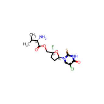 CC(C)[C@H](N)C(=O)OC[C@]1(F)CC[C@H](n2cc(Cl)c(=O)[nH]c2=S)O1